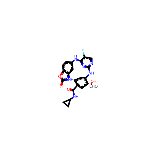 O=C(NC1CC1)c1ccc(Nc2ncc(F)c(Nc3ccc4oc(=O)[nH]c4c3)n2)cc1.O=CO